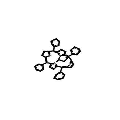 O=CCC1n2c3ccc2/C(c2ccccc2)=C2/C=CC(=N2)/C(c2ccccc2)=c2/cc/c(n21)=C(\c1ccccc1)C1=N/C(=C\3c2ccccc2)C=C1